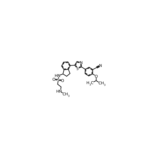 CNCCS(=O)(=O)NC1CCc2c(-c3cnc(-c4ccc(OC(C)C)c(C#N)c4)s3)cccc21